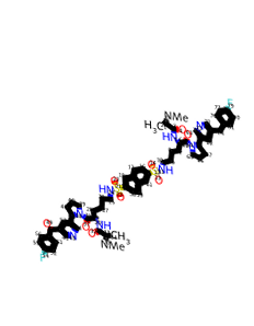 CNC(C)C(=O)NC(CCCCNS(=O)(=O)c1ccc2cc(S(=O)(=O)NCCCCC(NC(=O)C(C)NC)C(=O)N3CCCC3c3cncc(C(=O)c4ccc(F)cc4)c3)ccc2c1)C(=O)N1CCCC1c1cncc(Cc2ccc(F)cc2)c1